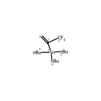 C=[C](C(F)(F)F)[Sn]([CH2]CCC)([CH2]CCC)[CH2]CCC